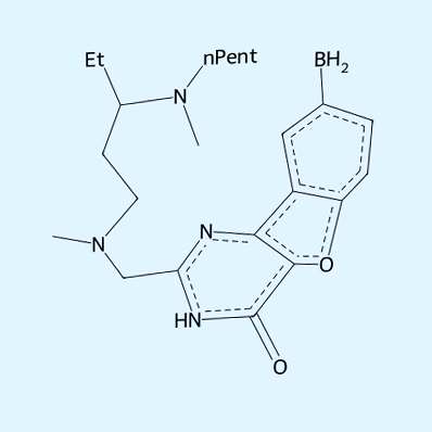 Bc1ccc2oc3c(=O)[nH]c(CN(C)CCC(CC)N(C)CCCCC)nc3c2c1